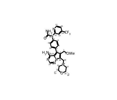 COCc1c(-c2ccc(N(C(N)=O)c3cc(C(F)(F)F)ccn3)cc2)c2c(N)ncnn2c1CN1C[C@@H](C)O[C@@H](C)C1